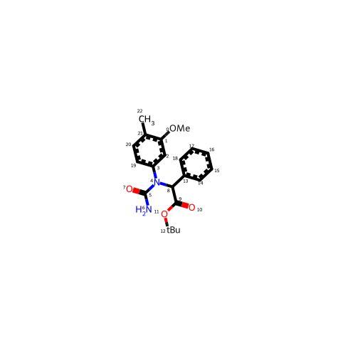 COc1cc(N(C(N)=O)C(C(=O)OC(C)(C)C)c2ccccc2)ccc1C